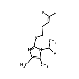 CC(=O)C(C)n1c(SCCC=C(F)F)nc(C)c1C